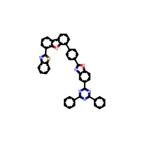 c1ccc(-c2nc(-c3ccccc3)nc(-c3ccc4oc(-c5ccc(-c6cccc7c6oc6c(-c8nc9ccccc9s8)cccc67)cc5)nc4c3)n2)cc1